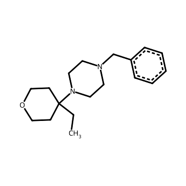 CCC1(N2CCN(Cc3ccccc3)CC2)CCOCC1